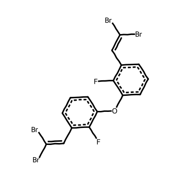 Fc1c(C=C(Br)Br)cccc1Oc1cccc(C=C(Br)Br)c1F